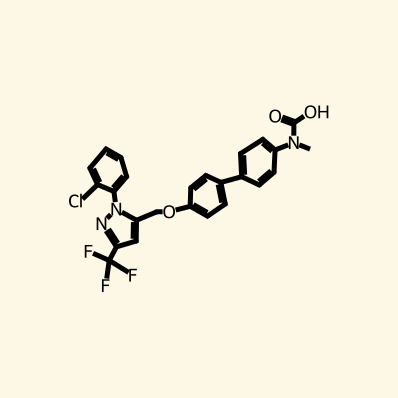 CN(C(=O)O)c1ccc(-c2ccc(OCc3cc(C(F)(F)F)nn3-c3ccccc3Cl)cc2)cc1